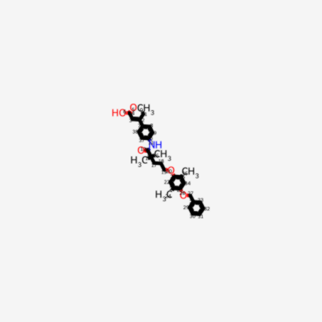 CCC(=CC(=O)O)c1ccc(NC(=O)C(C)(C)CCCOc2cc(C)c(OCc3ccccc3)cc2C)cc1